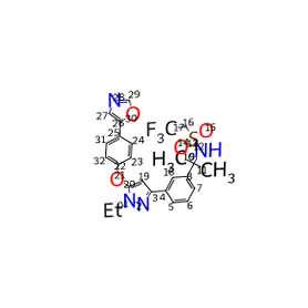 CCn1nc(-c2cccc(C(C)(C)NS(=O)(=O)CC(F)(F)F)c2)cc1Oc1ccc(-c2cnco2)cc1